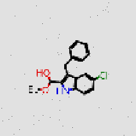 CCOC(O)c1[nH]c2ccc(Cl)cc2c1Cc1ccccc1